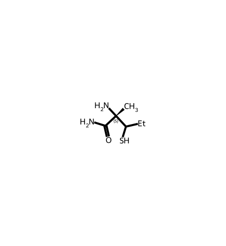 CCC(S)[C@@](C)(N)C(N)=O